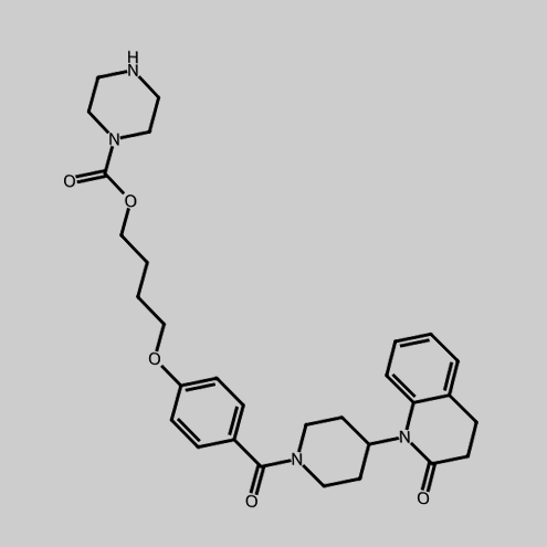 O=C(OCCCCOc1ccc(C(=O)N2CCC(N3C(=O)CCc4ccccc43)CC2)cc1)N1CCNCC1